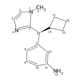 Cn1ccnc1[C@H](c1cccc(N)c1)C1CCC1